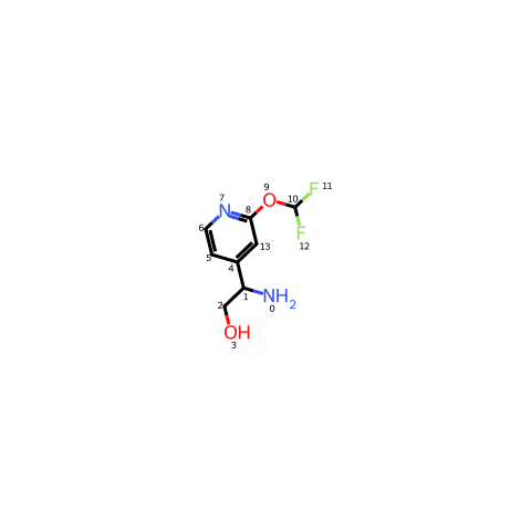 NC(CO)c1ccnc(OC(F)F)c1